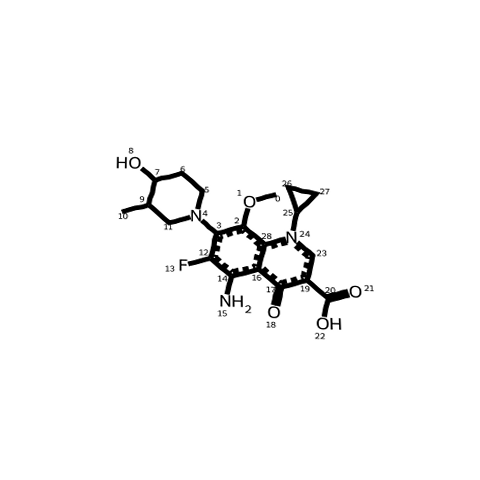 COc1c(N2CCC(O)C(C)C2)c(F)c(N)c2c(=O)c(C(=O)O)cn(C3CC3)c12